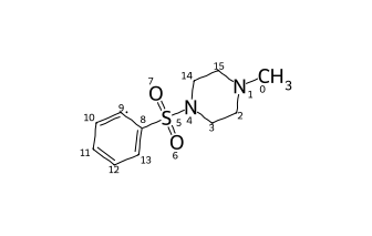 CN1CCN(S(=O)(=O)c2[c]cccc2)CC1